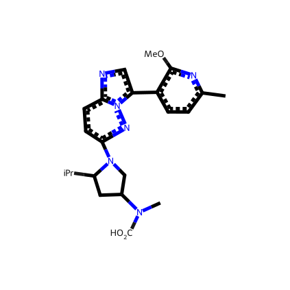 COc1nc(C)ccc1-c1cnc2ccc(N3CC(N(C)C(=O)O)CC3C(C)C)nn12